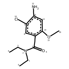 CCN(CC)C(=O)c1cc(Cl)c(N)cc1OC